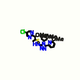 COCC(COC)n1c(NSC(C)C(OC)c2ncc(Cl)cn2)nnc1-c1cccc(OC)n1